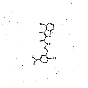 Cc1c(C(=O)N/N=C/c2cc([N+](=O)[O-])ccc2O)oc2cccc(O)c12